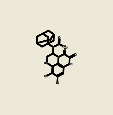 CC(=O)N(C1CNc2c(Cl)c(Cl)cc3[nH]c(=O)c(=O)n1c23)C12CC3CC(CC(C3)C1)C2